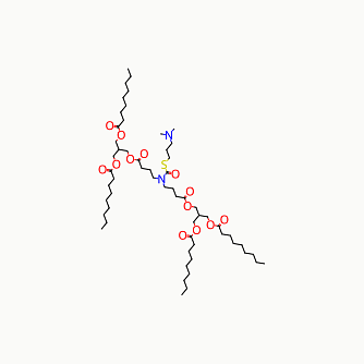 CCCCCCCCC(=O)OCC(COC(=O)CCCCCCCC)COC(=O)CCCN(CCCC(=O)OCC(COC(=O)CCCCCCCC)COC(=O)CCCCCCCC)C(=O)SCCCN(C)C